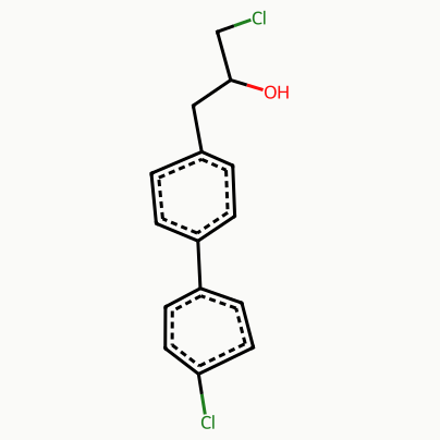 OC(CCl)Cc1ccc(-c2ccc(Cl)cc2)cc1